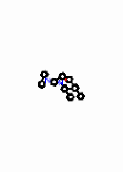 c1ccc(-c2ccc(-c3ccccc3)c(-c3cc(-n4c5ccccc5c5cc(-n6c7ccccc7c7ccccc76)ccc54)ccc3-c3ccccc3)c2)cc1